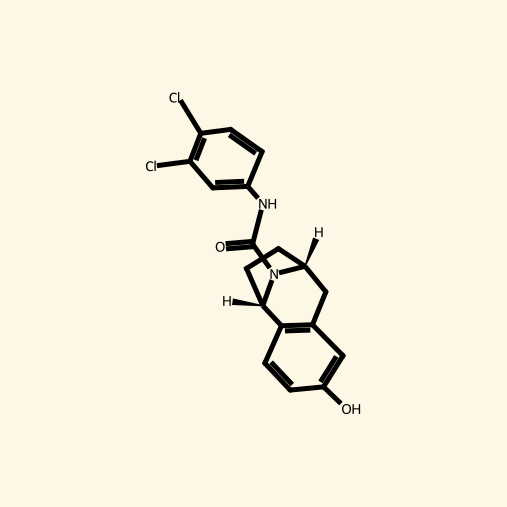 O=C(Nc1ccc(Cl)c(Cl)c1)N1[C@@H]2CC[C@H]1c1ccc(O)cc1C2